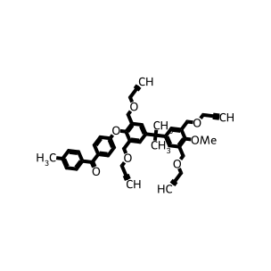 C#CCOCc1cc(C(C)(C)c2cc(COCC#C)c(Oc3ccc(C(=O)c4ccc(C)cc4)cc3)c(COCC#C)c2)cc(COCC#C)c1OC